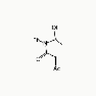 CCN(C(=O)CC(C)=O)C(C)O